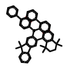 CC1(C)CCC(C)(C)c2c(-c3cc4c(cc3N(c3ccc(-c5ccccc5)cc3)c3ccccc3-c3ccccc3)C(C)(C)c3ccccc3-4)cccc21